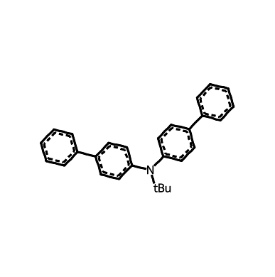 CC(C)(C)N(c1ccc(-c2ccccc2)cc1)c1ccc(-c2ccccc2)cc1